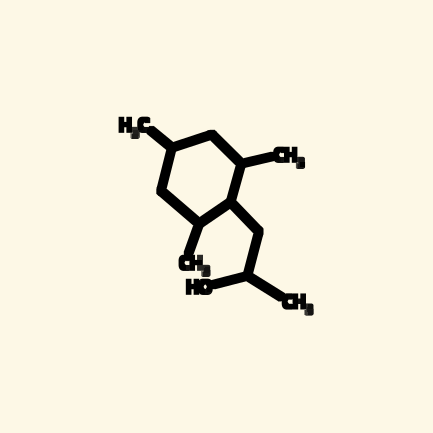 CC(O)CC1C(C)CC(C)CC1C